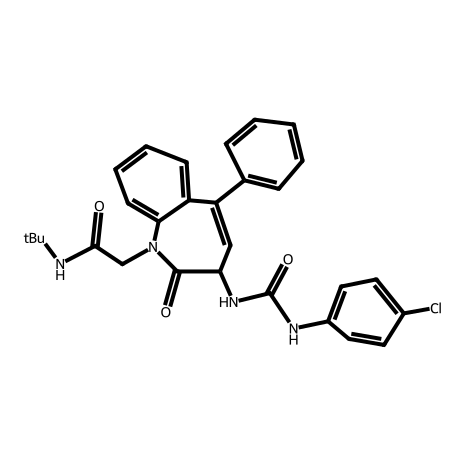 CC(C)(C)NC(=O)CN1C(=O)C(NC(=O)Nc2ccc(Cl)cc2)C=C(c2ccccc2)c2ccccc21